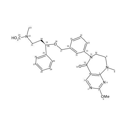 COc1ncc2c(n1)N(C)CCN(c1cccc(CO[C@H](CCN(C)C(=O)O)c3ccccc3)c1)C2=O